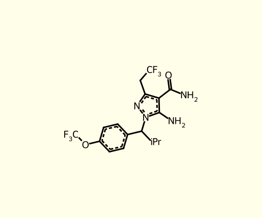 CC(C)C(c1ccc(OC(F)(F)F)cc1)n1nc(CC(F)(F)F)c(C(N)=O)c1N